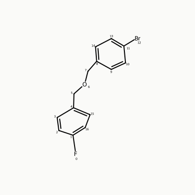 Fc1ccc(COCc2ccc(Br)cc2)cc1